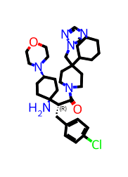 N[C@]1([C@@H](Cc2ccc(Cl)cc2)C(=O)N2CCC(Cn3cncn3)(C3CCCCC3)CC2)CC[C@H](N2CCOCC2)CC1